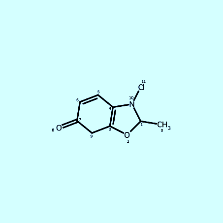 CC1OC2=C(C=CC(=O)C2)N1Cl